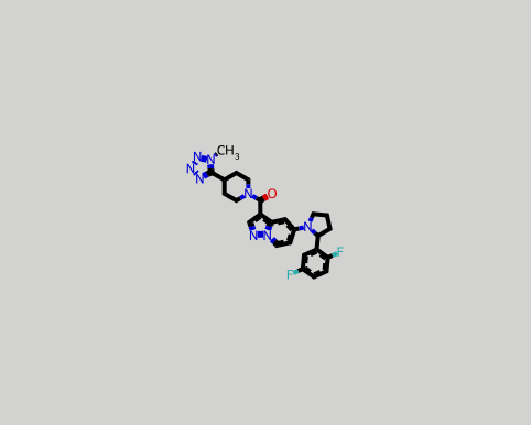 Cn1nnnc1C1CCN(C(=O)c2cnn3ccc(N4CCCC4c4cc(F)ccc4F)cc23)CC1